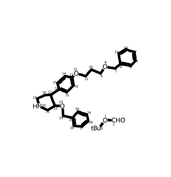 CC(C)(C)OC=O.c1ccc(COCCCOc2ccc(C3CCNCC3OCc3ccccc3)cc2)cc1